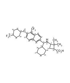 CC1(C)C(NC(c2ccc3c(C(F)(F)F)c(OC4CCC(C(F)(F)F)CC4)ccc3c2)C2CCCCC2)CC1C(=O)O